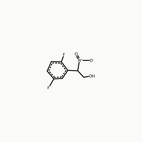 O=[N+]([O-])C(CO)c1cc(F)ccc1F